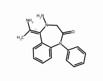 C/C(N)=C1\c2ccccc2N(c2ccccc2)C(=O)CN1N